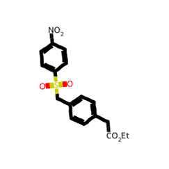 CCOC(=O)Cc1ccc(CS(=O)(=O)c2ccc([N+](=O)[O-])cc2)cc1